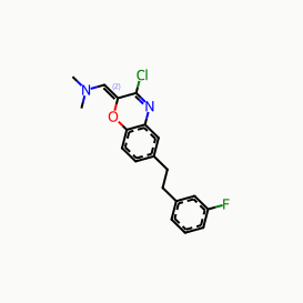 CN(C)/C=C1\Oc2ccc(CCc3cccc(F)c3)cc2N=C1Cl